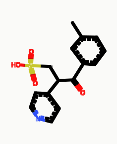 Cc1cccc(C(=O)C([CH]S(=O)(=O)O)c2ccncc2)c1